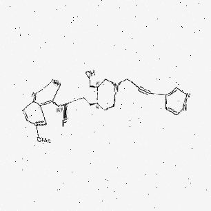 COc1ccc2nccc([C@H](F)CC[C@@H]3CCN(CC#Cc4ccnnc4)C[C@@H]3CO)c2c1